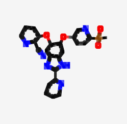 CS(=O)(=O)c1ccc(Oc2cc3[nH]c(-c4ccccn4)nc3cc2Oc2cccnc2C#N)cn1